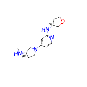 CN[C@@H]1CCN(c2ccnc(N[C@@H]3CCOC3)c2)C1